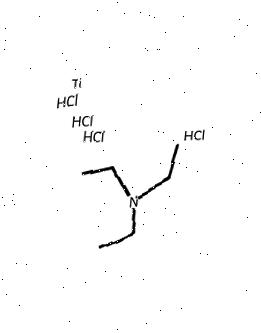 CCN(CC)CC.Cl.Cl.Cl.Cl.[Ti]